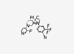 CCN(c1ccc(C#N)c(C(F)(F)F)c1)[C@@H]1CCCN(c2ccncc2F)C1